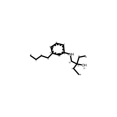 CCCCc1cccc(NCC(O)(CC)CC)c1